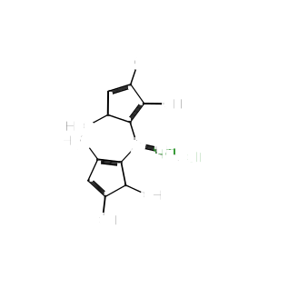 Cl.Cl.[CH2]=[Zr]([C]1=C(C)C(C)=CC1C)[C]1=C(C)C=C(C)C1C